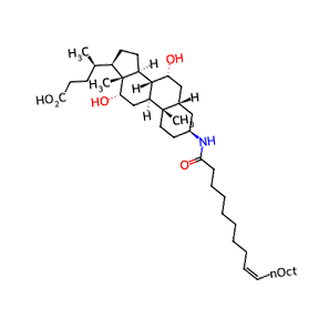 CCCCCCCC/C=C\CCCCCCCC(=O)N[C@H]1CC[C@@]2(C)[C@@H](C1)C[C@@H](O)[C@@H]1[C@@H]2C[C@H](O)[C@]2(C)[C@@H]([C@H](C)CCC(=O)O)CC[C@@H]12